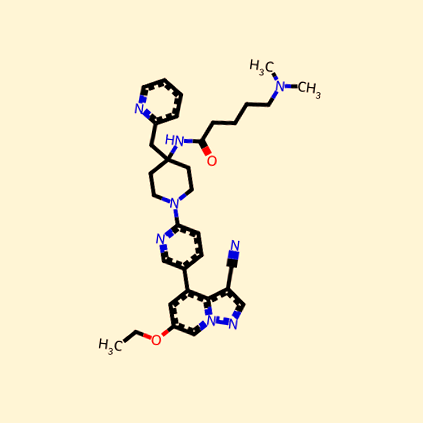 CCOc1cc(-c2ccc(N3CCC(Cc4ccccn4)(NC(=O)CCCCN(C)C)CC3)nc2)c2c(C#N)cnn2c1